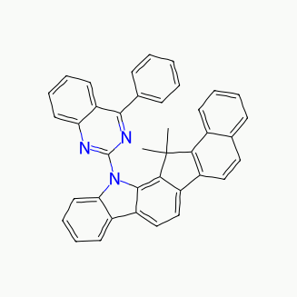 CC1(C)c2c(ccc3ccccc23)-c2ccc3c4ccccc4n(-c4nc(-c5ccccc5)c5ccccc5n4)c3c21